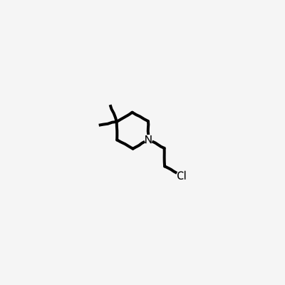 CC1(C)CCN(CCCl)CC1